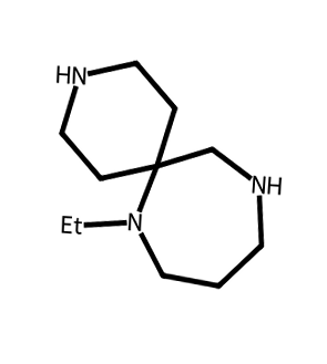 CCN1CCCNCC12CCNCC2